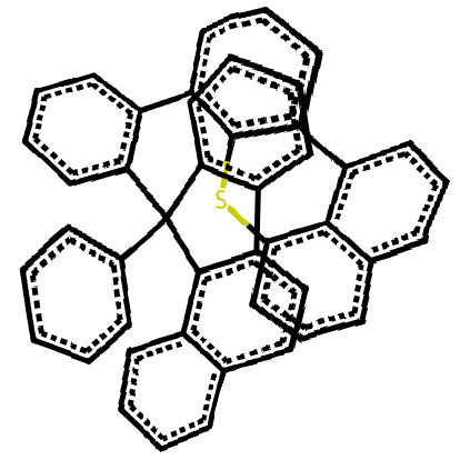 c1ccc(C2(c3ccccc3-c3cccc4c3Sc3cccc5cccc-4c35)c3ccccc3-c3ccc4ccccc4c32)cc1